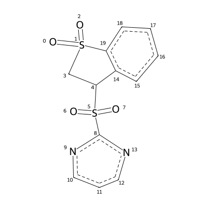 O=S1(=O)CC(S(=O)(=O)c2ncccn2)c2ccccc21